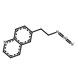 [N-]=[N+]=NCCc1ccc2ncccc2c1